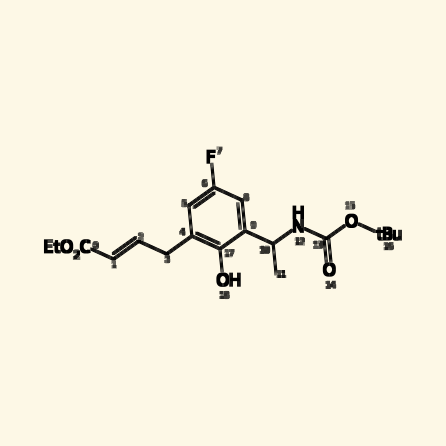 CCOC(=O)/C=C/Cc1cc(F)cc(C(C)NC(=O)OC(C)(C)C)c1O